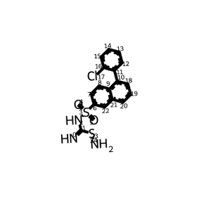 N=C(NS(=O)(=O)c1ccc2c(-c3ccccc3Cl)cccc2c1)SN